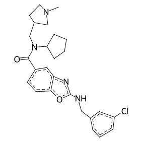 CN1CCC(CN(C(=O)c2ccc3oc(NCc4cccc(Cl)c4)nc3c2)C2CCCC2)C1